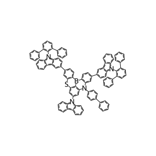 c1ccc(-c2ccc(N3c4cc(-c5ccc6c(c5)c5ccccc5n6-c5c(-c6ccccc6)cccc5-c5ccccc5)ccc4B4c5ccc(-c6ccc7c(c6)c6ccccc6n7-c6c(-c7ccccc7)cccc6-c6ccccc6)cc5Sc5cc(-n6c7ccccc7c7ccccc76)cc3c54)cc2)cc1